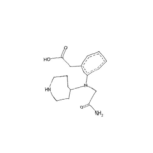 NC(=O)CN(c1ccccc1CC(=O)O)C1CCNCC1